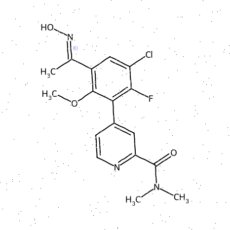 COc1c(/C(C)=N/O)cc(Cl)c(F)c1-c1ccnc(C(=O)N(C)C)c1